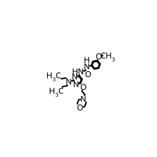 CCCN(CCC)c1nc(NC(=O)Nc2cccc(OC)c2)cc(OCCN2CCOCC2)n1